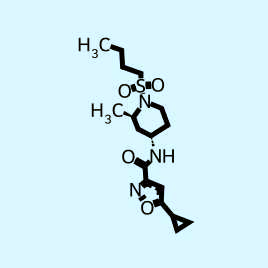 CCCCS(=O)(=O)N1CC[C@H](NC(=O)c2cc(C3CC3)on2)C[C@H]1C